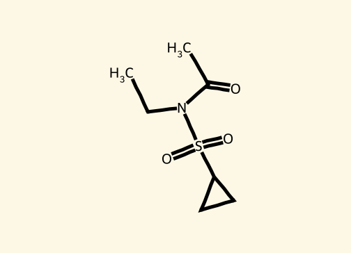 CCN(C(C)=O)S(=O)(=O)C1CC1